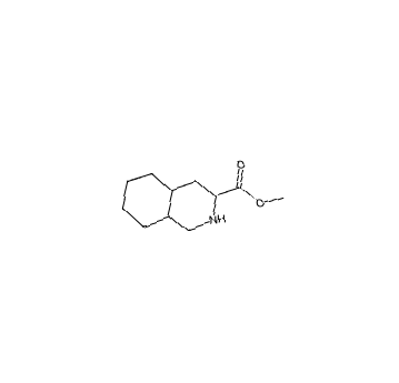 COC(=O)C1CC2CCCCC2CN1